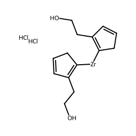 Cl.Cl.OCCC1=[C]([Zr][C]2=C(CCO)C=CC2)CC=C1